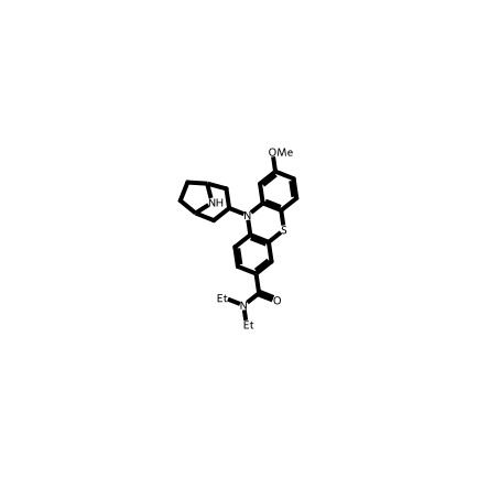 CCN(CC)C(=O)c1ccc2c(c1)Sc1ccc(OC)cc1N2C1CC2CCC(C1)N2